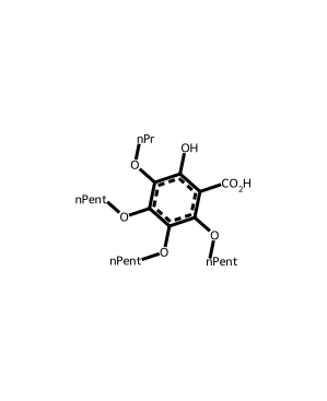 CCCCCOc1c(OCCC)c(O)c(C(=O)O)c(OCCCCC)c1OCCCCC